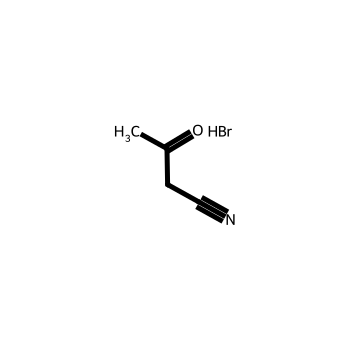 Br.CC(=O)CC#N